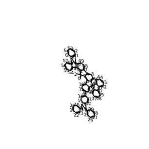 CC1(C)c2c(ccc3c2-c2ccc(C4=CCC(N(c5ccccc5)c5ccccc5)C=C4)cc2C32c3ccccc3-c3ccccc32)-c2ccc3c(c21)c1ccccc1n3-c1ccccc1